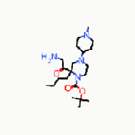 CCCCC1(C(=O)CN)CN(C2CCN(C)CC2)CCN1C(=O)OC(C)(C)C